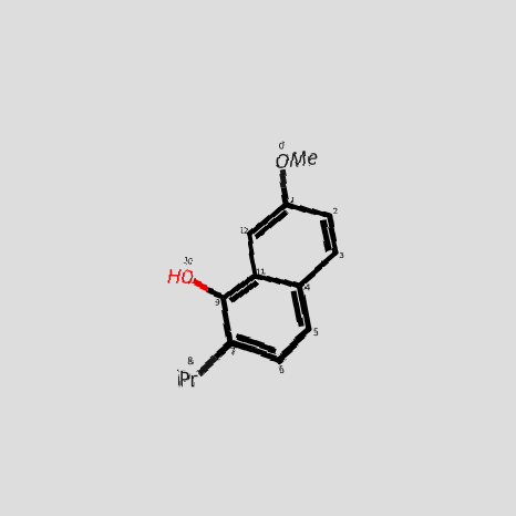 COc1ccc2ccc(C(C)C)c(O)c2c1